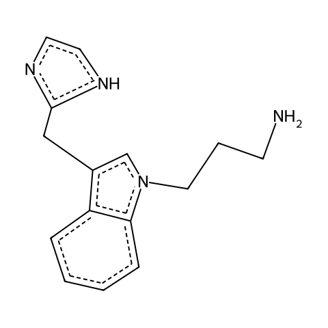 NCCCn1cc(Cc2ncc[nH]2)c2ccccc21